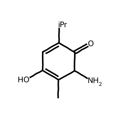 CC1=C(O)C=C(C(C)C)C(=O)C1N